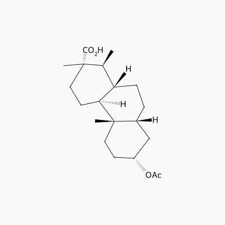 CC(=O)O[C@@H]1CC[C@@]2(C)[C@H](CC[C@@H]3[C@@H]2CC[C@](C)(C(=O)O)[C@H]3C)C1